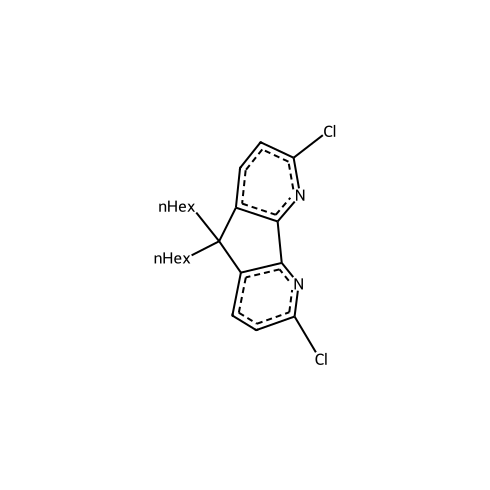 CCCCCCC1(CCCCCC)c2ccc(Cl)nc2-c2nc(Cl)ccc21